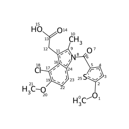 COc1ccc(C(=O)n2c(C)c(CC(=O)O)c3c(Cl)c(OC)ccc32)s1